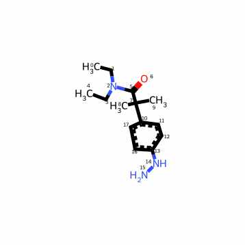 CCN(CC)C(=O)C(C)(C)c1ccc(NN)cc1